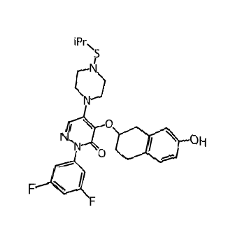 CC(C)SN1CCN(c2cnn(-c3cc(F)cc(F)c3)c(=O)c2OC2CCc3ccc(O)cc3C2)CC1